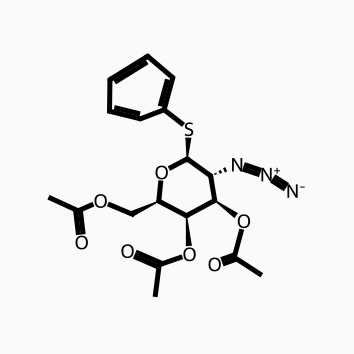 CC(=O)OC[C@H]1O[C@@H](Sc2ccccc2)[C@H](N=[N+]=[N-])[C@@H](OC(C)=O)[C@H]1OC(C)=O